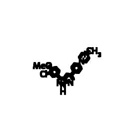 COc1ccc(-c2n[nH]c3ncc(-c4ccc(N5CCN(C)CC5)cc4)cc23)cc1Cl